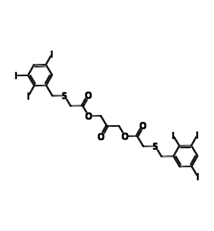 O=C(COC(=O)CSCc1cc(I)cc(I)c1I)COC(=O)CSCc1cc(I)cc(I)c1I